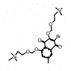 Cc1cc(OCOCC[Si](C)(C)C)c2c(c1)C(=O)C(Br)=C(OCOCC[Si](C)(C)C)C2=O